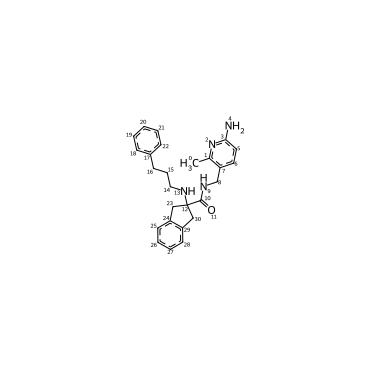 Cc1nc(N)ccc1CNC(=O)C1(NCCCc2ccccc2)Cc2ccccc2C1